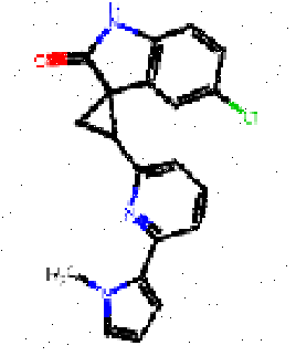 Cn1cccc1-c1cccc(C2CC23C(=O)Nc2ccc(Cl)cc23)n1